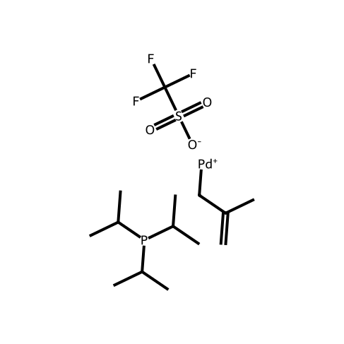 C=C(C)[CH2][Pd+].CC(C)P(C(C)C)C(C)C.O=S(=O)([O-])C(F)(F)F